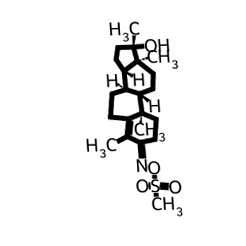 CC1=C2CC[C@@H]3[C@H](CC[C@@]4(C)[C@H]3CC[C@]4(C)O)[C@@]2(C)CC/C1=N\OS(C)(=O)=O